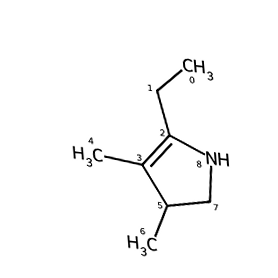 CCC1=C(C)C(C)CN1